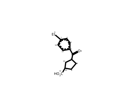 CCc1ccc(C(=O)C2CCC(C(=O)O)C2)cc1